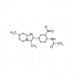 CC(=O)Nc1ccc(-c2nc3cc(C)ccn3c2C)cc1[N+](=O)[O-]